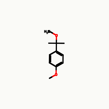 COc1ccc(C(C)(C)O[SiH3])cc1